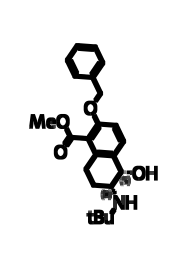 COC(=O)c1c(OCc2ccccc2)ccc2c1CC[C@@H](NC(C)(C)C)[C@H]2O